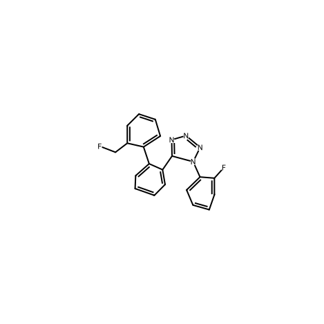 FCc1ccccc1-c1ccccc1-c1nnnn1-c1ccccc1F